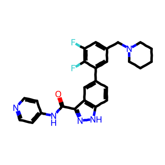 O=C(Nc1ccncc1)c1n[nH]c2ccc(-c3cc(CN4CCCCC4)cc(F)c3F)cc12